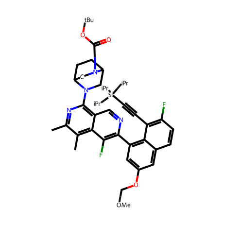 COCOc1cc(-c2ncc3c(N4CC5CCC4CN5C(=O)OC(C)(C)C)nc(C)c(C)c3c2F)c2c(C#C[Si](C(C)C)(C(C)C)C(C)C)c(F)ccc2c1